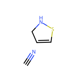 C#N.C1=CSNC1